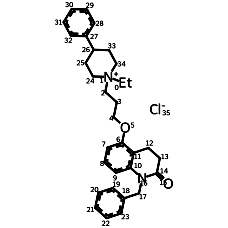 CC[N+]1(CCCOc2cccc3c2CCC(=O)N3Cc2ccccc2)CCC(c2ccccc2)CC1.[Cl-]